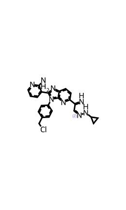 N=C(/C=N\NC1CC1)c1ccc2nc(-c3cccnc3N)n(-c3ccc(CCl)cc3)c2n1